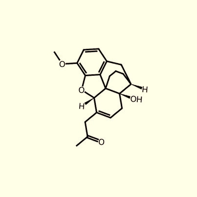 COc1ccc2c3c1O[C@H]1C(CC(C)=O)=CC[C@@]4(O)[C@H](CCCC314)C2